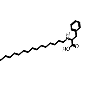 CCCCCCCCCCCCCCCCNC(Cc1ccccc1)C(=O)O